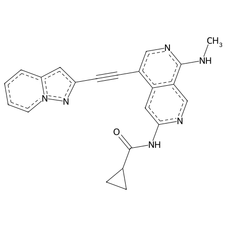 CNc1ncc(C#Cc2cc3ccccn3n2)c2cc(NC(=O)C3CC3)ncc12